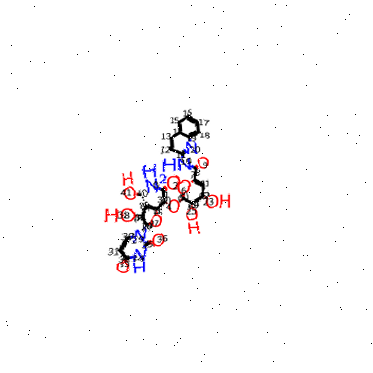 NC(=O)[C@H](O[C@H]1OC(C(=O)Nc2ccc3ccccc3n2)=C[C@H](O)[C@@H]1O)[C@H]1O[C@@H](n2ccc(=O)[nH]c2=O)[C@H](O)[C@@H]1CO